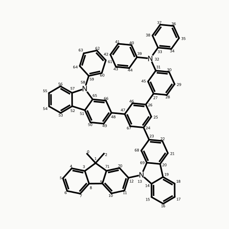 CC1(C)c2ccccc2-c2ccc(-n3c4ccccc4c4ccc(-c5cc(-c6cccc(N(c7ccccc7)c7ccccc7)c6)cc(-c6ccc7c8ccccc8n(-c8ccccc8)c7c6)c5)cc43)cc21